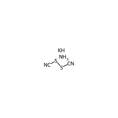 N.N#CSSC#N.[KH]